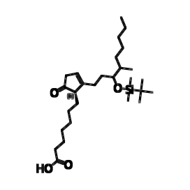 CCCCCC(C)C(CCC1=CCC(=O)[C@@H]1CCCCCCC(=O)O)O[Si](C)(C)C(C)(C)C